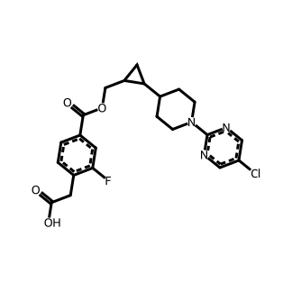 O=C(O)Cc1ccc(C(=O)OCC2CC2C2CCN(c3ncc(Cl)cn3)CC2)cc1F